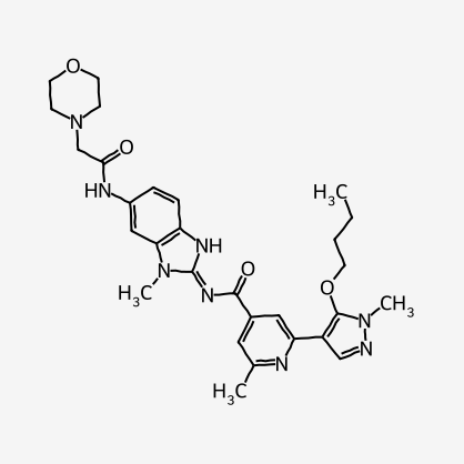 CCCCOc1c(-c2cc(C(=O)/N=c3\[nH]c4ccc(NC(=O)CN5CCOCC5)cc4n3C)cc(C)n2)cnn1C